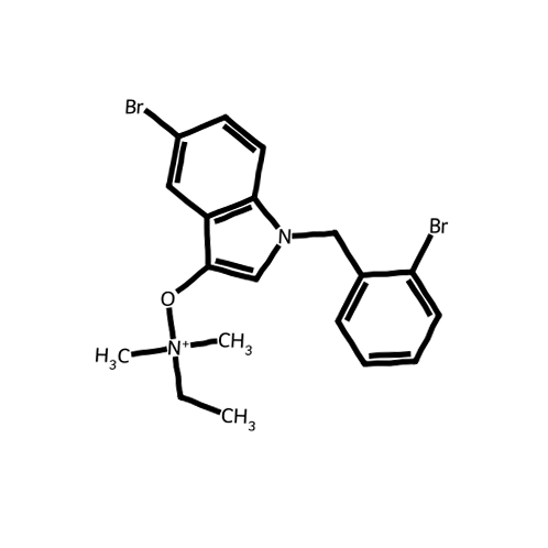 CC[N+](C)(C)Oc1cn(Cc2ccccc2Br)c2ccc(Br)cc12